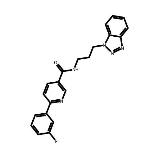 O=C(NCCCn1nnc2ccccc21)c1ccc(-c2cccc(F)c2)nc1